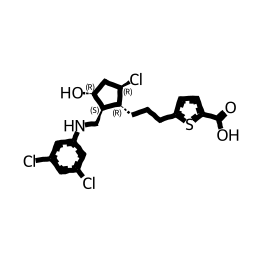 O=C(O)c1ccc(CCC[C@@H]2[C@@H](CNc3cc(Cl)cc(Cl)c3)[C@H](O)C[C@H]2Cl)s1